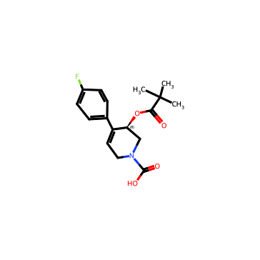 CC(C)(C)C(=O)O[C@H]1CN(C(=O)O)CC=C1c1ccc(F)cc1